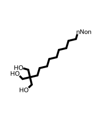 CCCCCCCCCCCCCCCCCCC(CO)(CO)CO